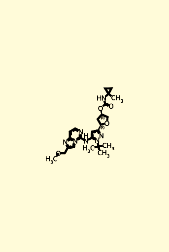 COCc1cn2c(Nc3cc([C@H]4C[C@@H](OC(=O)NC5(C)CC5)CO4)nn3C(C)(C)C)nccc2n1